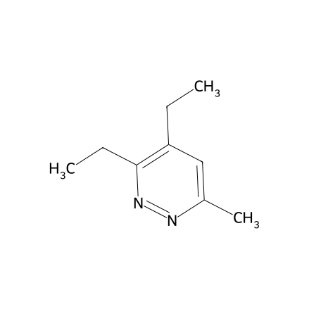 CCc1cc(C)nnc1CC